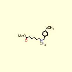 C=Cc1ccc(CN(C)CCCCCC(=O)OC)cc1